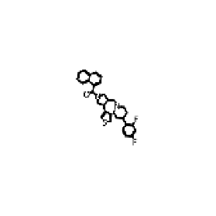 O=C(c1cccc2ccccc12)N1CC(CN2CCC(c3ccc(F)cc3F)CC2)C(c2ccsc2)C1